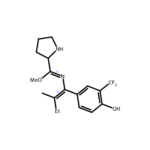 CC/C(C)=C(/N=C(\OC)C1CCCN1)c1ccc(O)c(C(F)(F)F)c1